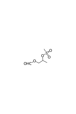 CC(COC=O)OS(C)(=O)=O